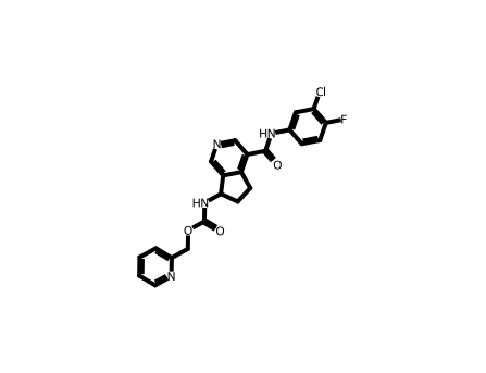 O=C(NC1CCc2c(C(=O)Nc3ccc(F)c(Cl)c3)cncc21)OCc1ccccn1